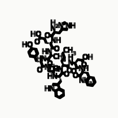 CCCC[C@H](NC(=O)[C@H](Cc1c[nH]c2ccccc12)NC(=O)CNC(=O)[C@H](Cc1ccc(O)cc1)NC(=O)[C@H](C)NC(=O)[C@H](CCC(=O)O)NC(=O)[C@@H](N)Cc1c[nH]cn1)C(=O)N[C@@H](CC(=O)O)C(=O)N[C@@H](Cc1ccccc1)C(N)=O